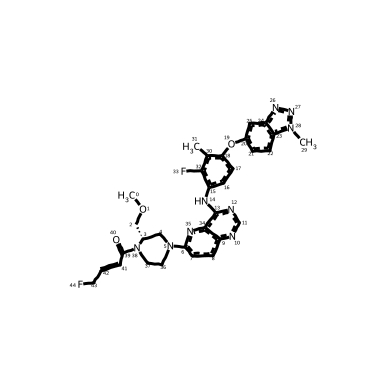 COC[C@@H]1CN(c2ccc3ncnc(Nc4ccc(Oc5ccc6c(c5)nnn6C)c(C)c4F)c3n2)CCN1C(=O)/C=C/CF